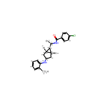 CC[C@@H](NC(=O)c1ccc(Cl)cc1)[C@H]1[C@@H]2C[C@@H](Nc3ccccc3C(=O)O)C[C@@H]21